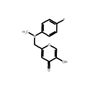 CN(Cc1cc(=O)c(O)co1)c1ccc(F)cc1